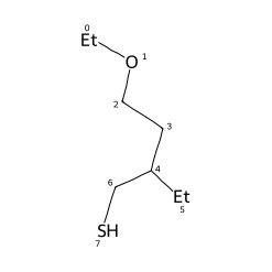 CCOCCC(CC)CS